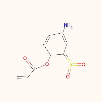 C=CC(=O)OC1C=CC(N)=CC1=S(=O)=O